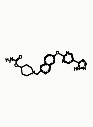 NC(=O)OC1CCN(Cc2ccc3cc(Oc4ncc(-c5ccn[nH]5)cn4)ccc3c2)CC1